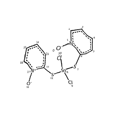 [O-][n+]1ccccc1[S][Sn]([Cl])([Cl])[S]c1cccc[n+]1[O-]